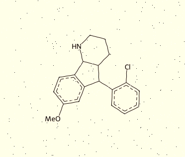 COc1ccc2c(c1)C(c1ccccc1Cl)C1CCCNC21